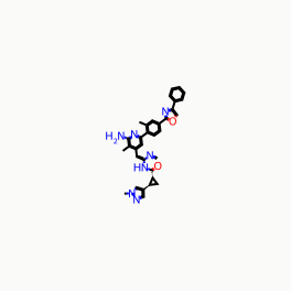 C=N/C(=C\c1cc(-c2ccc(-c3nc(-c4ccccc4)co3)cc2C)nc(N)c1C)NC(=O)[C@@H]1C[C@H]1c1cnn(C)c1